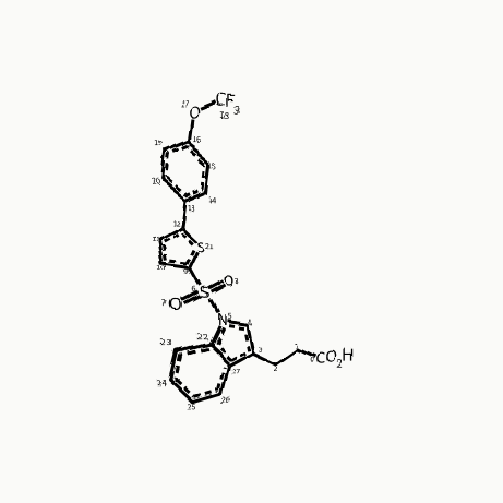 O=C(O)CCc1cn(S(=O)(=O)c2ccc(-c3ccc(OC(F)(F)F)cc3)s2)c2ccccc12